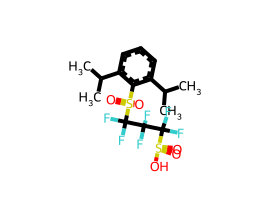 CC(C)c1cccc(C(C)C)c1S(=O)(=O)C(F)(F)C(F)(F)C(F)(F)S(=O)(=O)O